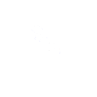 c1cnc2c(Nc3ccc4c(CC5CCCCC5)noc4c3)n[nH]c2n1